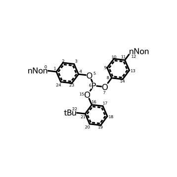 CCCCCCCCCc1ccc(OP(Oc2ccc(CCCCCCCCC)cc2)Oc2ccccc2C(C)(C)C)cc1